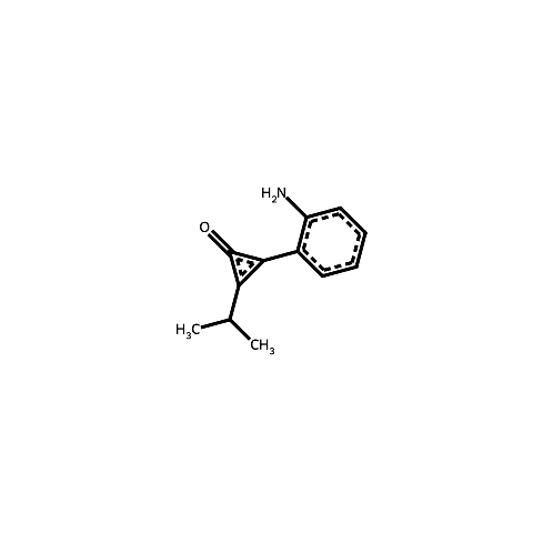 CC(C)c1c(-c2ccccc2N)c1=O